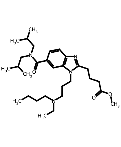 CCCCN(CC)CCCn1c(CCCC(=O)OC)nc2ccc(C(=O)N(CC(C)C)CC(C)C)cc21